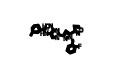 Cc1cccc(C(=O)Nc2cnc(-c3cc(-c4ccon4)n(Cc4ccccc4F)n3)nc2N)c1